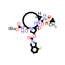 CC(C)(C)OC(=O)N[C@H]1CCCCCCC[C@@H]2C[C@@]2(C(=O)NS(=O)(=O)C2(C)CC2)NC(=O)[C@@H]2C[C@@H](OC(=O)N3Cc4cccc(F)c4C3)CN2C1=O